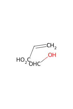 C=CC(=O)O.O=CO